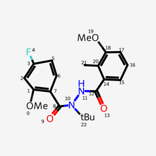 COc1cc(F)ccc1C(=O)N(NC(=O)c1cccc(OC)c1C)C(C)(C)C